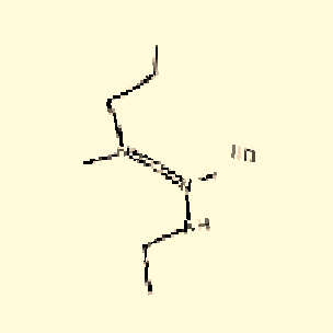 CCC[N+](C)=C=[N+](C)NCC.Cl